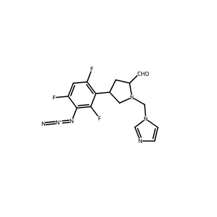 [N-]=[N+]=Nc1c(F)cc(F)c(C2CC(C=O)N(Cn3ccnc3)C2)c1F